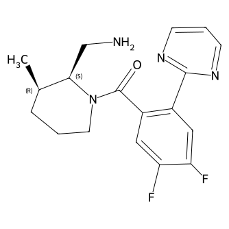 C[C@@H]1CCCN(C(=O)c2cc(F)c(F)cc2-c2ncccn2)[C@@H]1CN